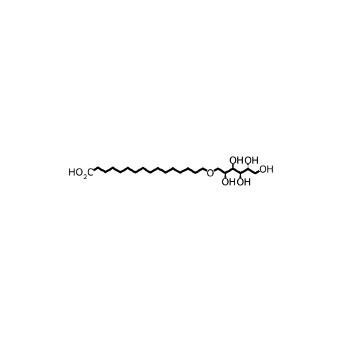 O=C(O)CCCCCCCCCCCCCCCOC[C@H](O)[C@@H](O)[C@H](O)[C@H](O)CO